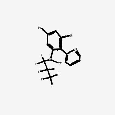 [O-][S+](c1cc(Br)[c]c(Br)c1-c1ccccn1)C(F)(F)C(F)(F)C(F)(F)F